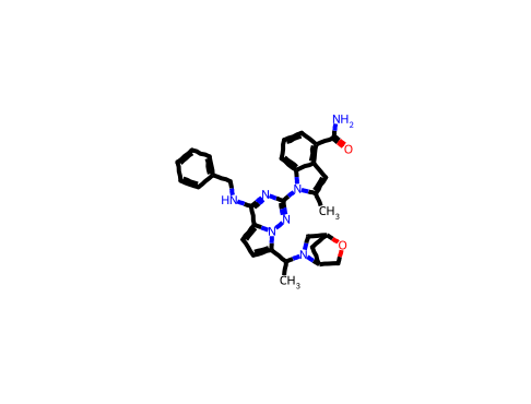 Cc1cc2c(C(N)=O)cccc2n1-c1nc(NCc2ccccc2)c2ccc(C(C)N3CC4CC3CO4)n2n1